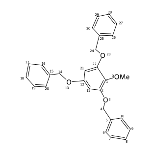 [CH2]Oc1c(OCc2ccccc2)cc(OCc2ccccc2)cc1OCc1ccccc1